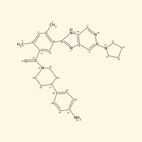 Cc1cc(C)c(-c2nc3cc(N4CCCC4)ncc3[nH]2)cc1C(=O)N1CCC(c2ccc(N)cc2)CC1